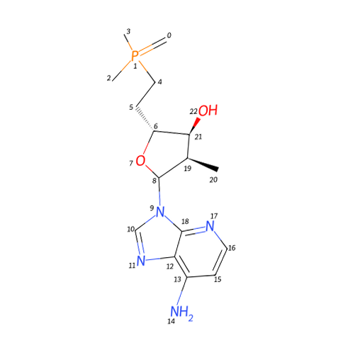 C=P(C)(C)CC[C@H]1OC(n2cnc3c(N)ccnc32)[C@H](C)[C@@H]1O